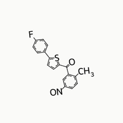 Cc1ccc(N=O)cc1C(=O)c1ccc(-c2ccc(F)cc2)s1